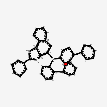 c1ccc(-c2ccc(N(c3ccccc3-c3ccccc3)c3cc4ccccc4c4nc(-c5ccccc5)oc34)cc2)cc1